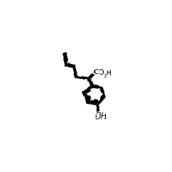 C=CCCC(C(=O)O)c1ccc(O)cc1